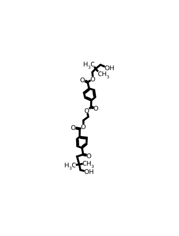 CC(C)(CO)COC(=O)c1ccc(C(=O)OCCOC(=O)c2ccc(C(=O)CC(C)(C)CO)cc2)cc1